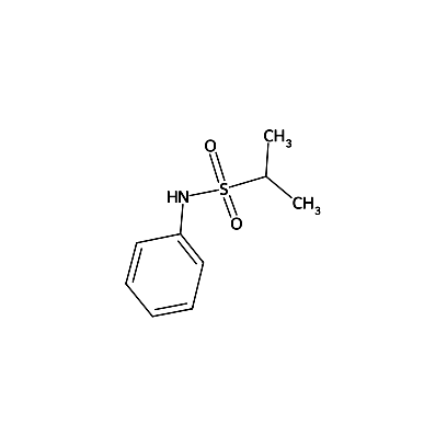 CC(C)S(=O)(=O)Nc1ccccc1